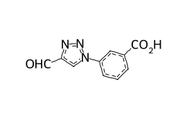 O=Cc1cn(-c2cccc(C(=O)O)c2)nn1